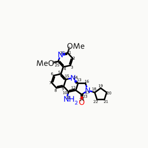 COc1ccc(-c2cccc3c(N)c4c(nc23)CN(C2CCCC2)C4=O)c(OC)n1